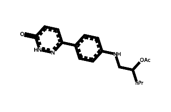 CCCC(CNc1ccc(-c2ccc(=O)[nH]n2)cc1)OC(C)=O